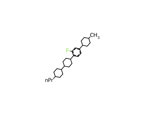 CCCC1CCC(C2CCC(c3ccc(C4CCC(C)CC4)cc3F)CC2)CC1